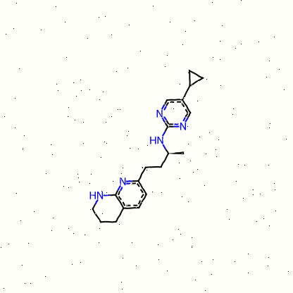 C[C@@H](C[CH]c1ccc2c(n1)NCCC2)Nc1ncc(C2CC2)cn1